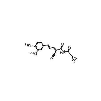 N#C/C(=C\C=C\c1ccc(O)c(O)c1)C(=O)NC(=O)C1CO1